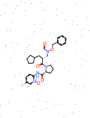 O=CN(C[C@@H](CC1CCCC1)C(=O)N1CCC[C@H]1C(=O)Nc1ccc(F)c[n+]1[O-])OCc1ccccc1